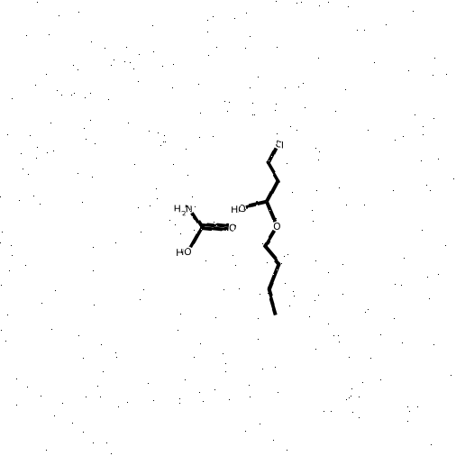 CCCCOC(O)CCCl.NC(=O)O